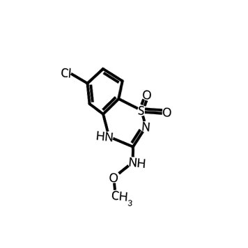 CONC1=NS(=O)(=O)c2ccc(Cl)cc2N1